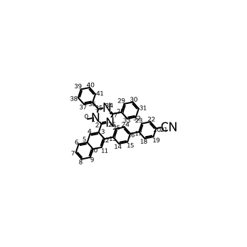 CN1C(c2cc3ccccc3cc2-c2ccc(-c3ccc(C#N)cc3)cc2)=NC(c2ccccc2)=NC1c1ccccc1